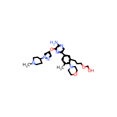 Cc1cc(-c2cnc(N)c(Oc3cnn(C4CCN(C)CC4)c3)n2)cc(CCCOCO)c1N1CCOCC1